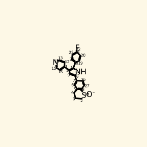 [O-][S+]1CCCc2cc(-c3cc(-c4ccncc4)c(-c4ccc(F)cc4)[nH]3)ccc21